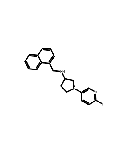 Fc1ccc(N2CCC(NCc3cccc4ccccc34)C2)cn1